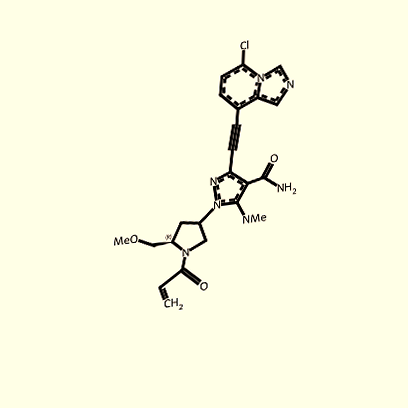 C=CC(=O)N1CC(n2nc(C#Cc3ccc(Cl)n4cncc34)c(C(N)=O)c2NC)C[C@@H]1COC